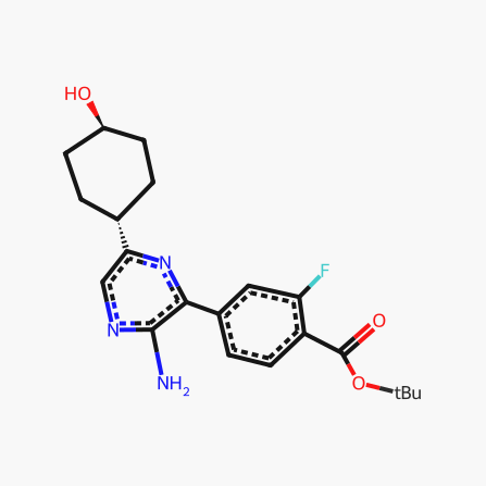 CC(C)(C)OC(=O)c1ccc(-c2nc([C@H]3CC[C@H](O)CC3)cnc2N)cc1F